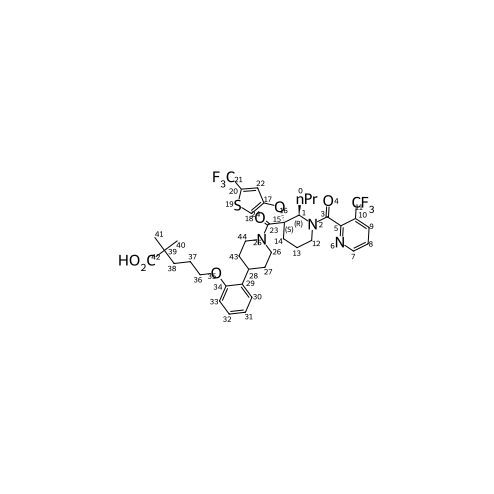 CCC[C@H]1N(C(=O)c2ncccc2C(F)(F)F)CCC[C@@]1(Oc1csc(C(F)(F)F)c1)C(=O)N1CCC(c2ccccc2OCCCC(C)(C)C(=O)O)CC1